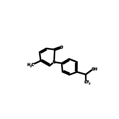 Cc1ccc(=O)n(-c2ccc(C(O)C(F)(F)F)cc2)c1